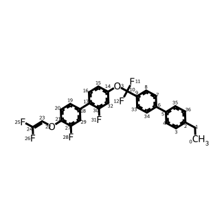 CCc1ccc(-c2ccc(C(F)(F)Oc3ccc(-c4ccc(OC=C(F)F)c(F)c4)c(F)c3)cc2)cc1